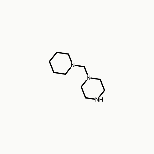 [CH](N1CCCCC1)N1CCNCC1